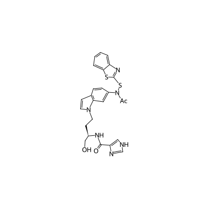 CC(=O)N(Sc1nc2ccccc2s1)c1ccc2ccn(CC[C@H](CO)NC(=O)c3c[nH]cn3)c2c1